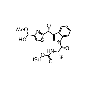 COC(O)c1csc(C(=O)c2cn(C(=O)[C@@H](NC(=O)OC(C)(C)C)C(C)C)c3ccccc23)n1